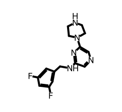 Fc1cc(F)cc(CNc2cncc(N3CCNCC3)n2)c1